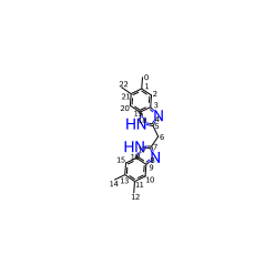 Cc1cc2nc(Cc3nc4cc(C)c(C)cc4[nH]3)[nH]c2cc1C